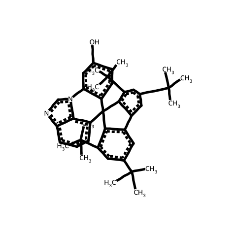 CC(C)(C)c1cc2c(c(C(C)(C)C)c1)C1(c3ccc(O)cc3-n3cnc4cccc1c43)c1c-2cc(C(C)(C)C)cc1C(C)(C)C